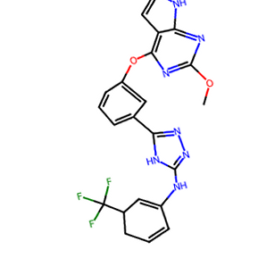 COc1nc(Oc2cccc(-c3nnc(NC4=CC(C(F)(F)F)CC=C4)[nH]3)c2)c2cc[nH]c2n1